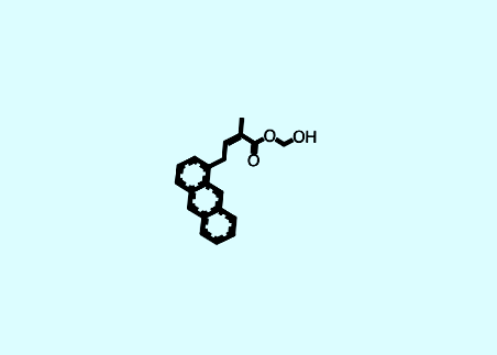 CC(=CCc1cccc2cc3ccccc3cc12)C(=O)OCO